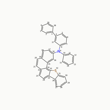 c1ccc(-c2cccc(N(c3ccccc3)c3ccc4ccc5ccc6c7ccccc7sc6c5c4c3)c2)cc1